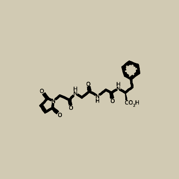 O=C(CNC(=O)CN1C(=O)C=CC1=O)NCC(=O)N[C@@H](Cc1ccccc1)C(=O)O